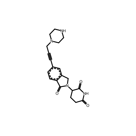 O=C1CCC(N2Cc3cc(C#CCN4CCNCC4)ccc3C2=O)C(=O)N1